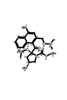 C[SiH](C)OCc1cc(C(C)(C)C)c2ccccc2c1C(O)[C@@]1(O[SiH](C)C)C[C@H](C(C)(C)C)CN1C(=O)OC(C)(C)C